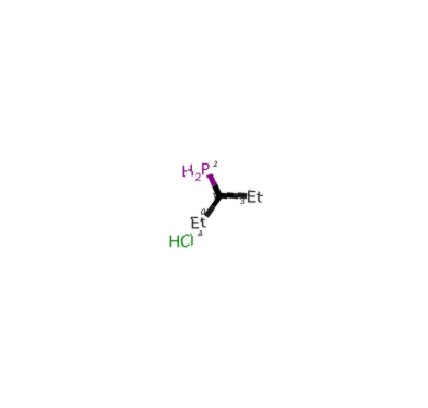 CCC(P)CC.Cl